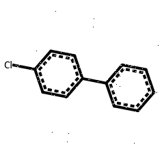 Clc1ccc(-c2cc[c]cc2)cc1